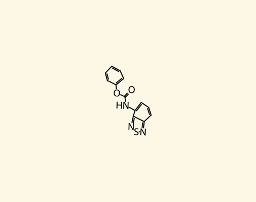 O=C(Nc1cccc2nsnc12)Oc1ccccc1